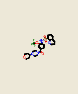 O=C(c1ccc(NS(=O)(=O)c2cccc3cccnc23)c(OC(F)(F)F)c1)N1CCN(C2CCOCC2)CC1